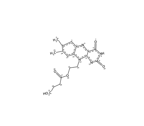 Cc1cc2nc3c(=O)[nH]c(=O)nc-3n(CCOC(=O)CCC(=O)O)c2cc1C